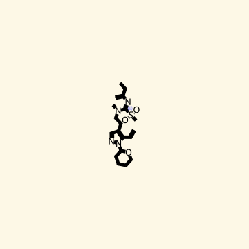 C=Cc1c(CCN(C)/C(=N\C(=C)CC)S(C)(=O)=O)cnn1C1CCCCO1